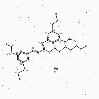 CCCCCCCCC(C=Nc1cc(CCC)cc(CCC)c1)=Nc1cc(CCC)cc(CCC)c1.[Pd]